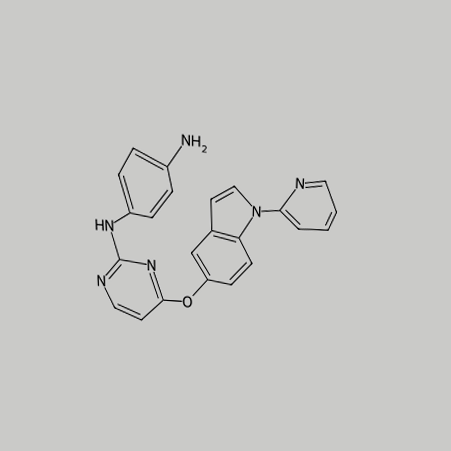 Nc1ccc(Nc2nccc(Oc3ccc4c(ccn4-c4ccccn4)c3)n2)cc1